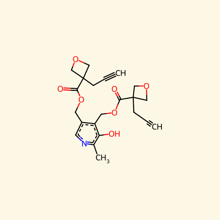 C#CCC1(C(=O)OCc2cnc(C)c(O)c2COC(=O)C2(CC#C)COC2)COC1